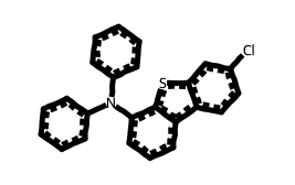 Clc1ccc2c(c1)sc1c(N(c3ccccc3)c3ccccc3)cccc12